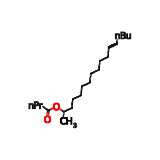 CCCCC=CCCCCCCCCCC(C)OC(=O)CCC